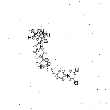 C[C@H](NC(=O)CCCc1ccc(N(CCCl)CCCl)cc1)C(=O)N1CCN(CCCC(O)(P(=O)(O)O)P(=O)(O)O)CC1